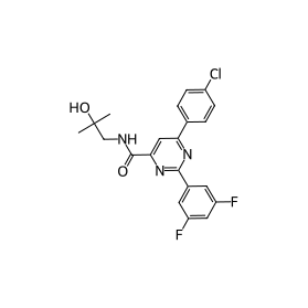 CC(C)(O)CNC(=O)c1cc(-c2ccc(Cl)cc2)nc(-c2cc(F)cc(F)c2)n1